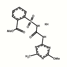 COC(=O)c1ccccc1S(=O)(=O)NC(=O)Nc1nc(C)nc(OC)n1.[KH]